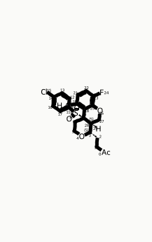 CC(=O)CC[C@@H]1OCC[C@@]2(S(=O)(=O)c3ccc(Cl)cc3)c3c(C)ccc(F)c3OC[C@@H]12